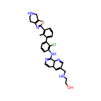 Cc1c(-c2nc3c(s2)CNCC3)cccc1-c1cccc(NC2=NC=CC3C=C(CNCCO)C=NC23)c1Cl